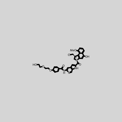 COc1cccc2c(O)cc3c(c12)[C@H](CCl)CN3C(=O)c1cc2cc(NC(=O)c3ccc(OCCOCCO)cc3)ncc2[nH]1